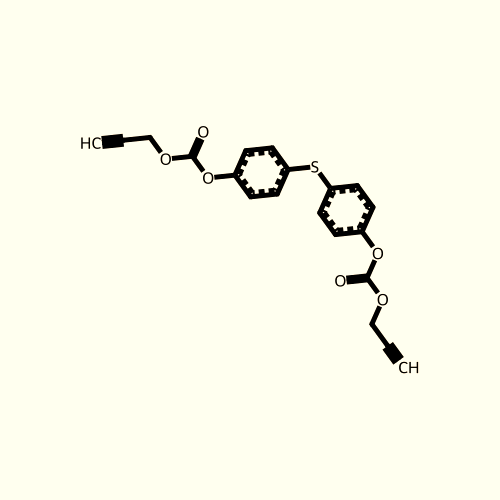 C#CCOC(=O)Oc1ccc(Sc2ccc(OC(=O)OCC#C)cc2)cc1